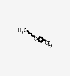 CCCCCCOc1ccc(COP=O)cc1